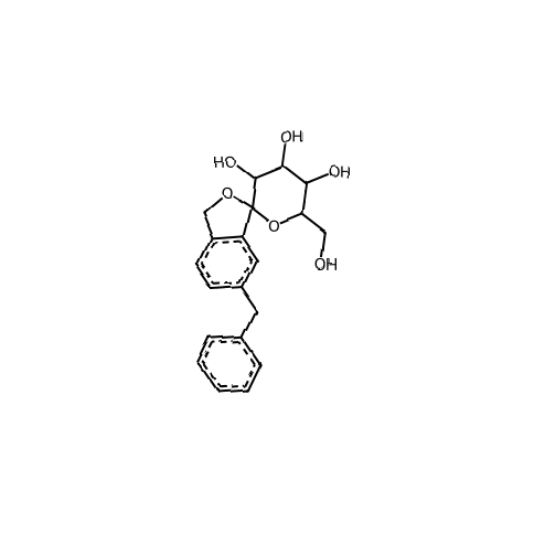 OCC1OC2(OCc3ccc(Cc4ccccc4)cc32)C(O)C(O)C1O